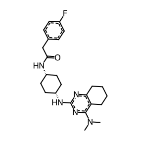 CN(C)c1nc(N[C@H]2CC[C@@H](NC(=O)Cc3ccc(F)cc3)CC2)nc2c1CCCC2